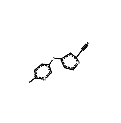 Cc1ccc(Oc2ccnc(C#N)c2)cn1